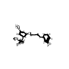 Oc1cc(OCCCc2ccccc2)cc(C(F)(F)F)c1